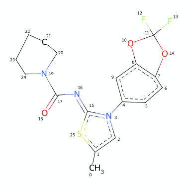 Cc1cn(-c2ccc3c(c2)OC(F)(F)O3)c(=NC(=O)N2CCCCC2)s1